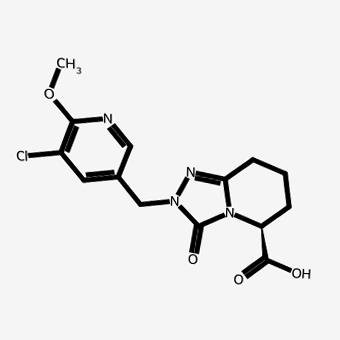 COc1ncc(Cn2nc3n(c2=O)[C@H](C(=O)O)CCC3)cc1Cl